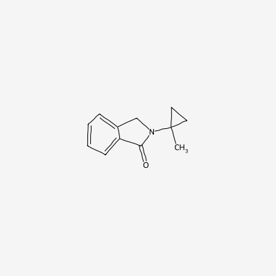 CC1(N2Cc3ccccc3C2=O)CC1